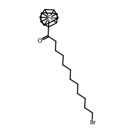 O=C(CCCCCCCCCCCBr)[C]12[CH]3[CH]4[CH]5[CH]1[Fe]45321678[CH]2[CH]1[CH]6[CH]7[CH]28